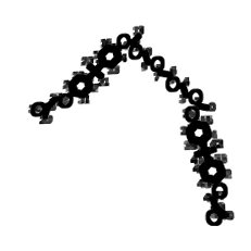 CC(OCCOCCOCCOC(C)Oc1ccc(C(C)(C)c2ccc(OCC3CO3)cc2)cc1)Oc1ccc(C(C)(C)c2ccc(OCC3CO3)cc2)cc1